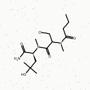 CCCC(=O)N(C)C(CCl)C(=O)N(C)[C@@H](CC(C)(C)O)C(N)=O